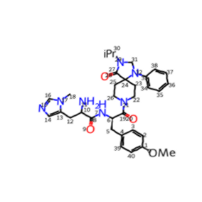 COc1ccc(C[C@@H](NC(=O)C(N)Cc2cncn2C)C(=O)N2CCC3(CC2)C(=O)N(C(C)C)CN3c2ccccc2)cc1